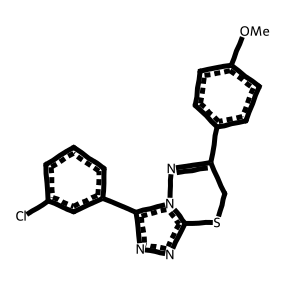 COc1ccc(C2=Nn3c(nnc3-c3cccc(Cl)c3)SC2)cc1